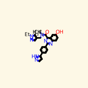 CCn1ncc(CN(C)C(=O)c2nc(-c3ccc(-c4ccn[nH]4)cc3)nc3ccc(O)cc23)c1C